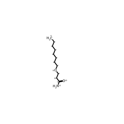 CCCCCCCCOCCC(N)=O